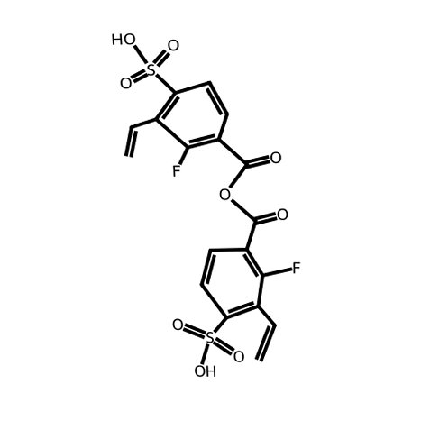 C=Cc1c(S(=O)(=O)O)ccc(C(=O)OC(=O)c2ccc(S(=O)(=O)O)c(C=C)c2F)c1F